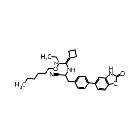 CCCCCCO[C@@H](CC)C(NC(C#N)Cc1ccc(-c2ccc3oc(=O)[nH]c3c2)cc1)=C1CCC1